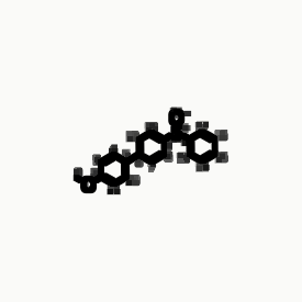 COc1ccc(-c2ccc([S+]([O-])c3ccccc3)cc2)cc1